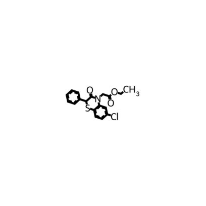 CCOC(=O)CN1C(=O)C(c2ccccc2)Sc2ccc(Cl)cc21